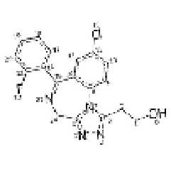 OCCc1nnc2n1-c1ccc(Cl)cc1C(c1ccccc1F)=NC2